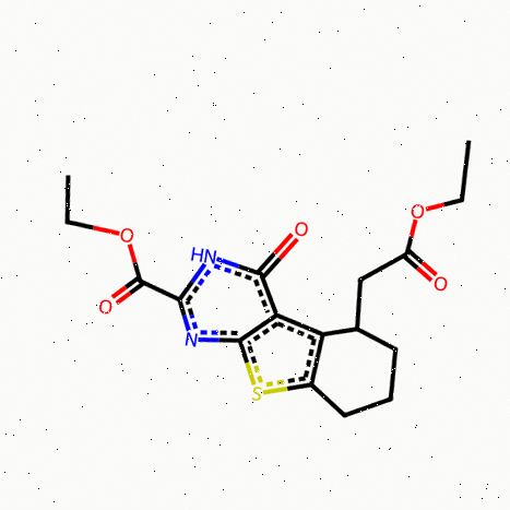 CCOC(=O)CC1CCCc2sc3nc(C(=O)OCC)[nH]c(=O)c3c21